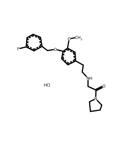 COc1cc(CCNCC(=O)N2CCCC2)ccc1OCc1cccc(F)c1.Cl